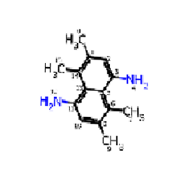 Cc1cc(N)c2c(C)c(C)cc(N)c2c1C